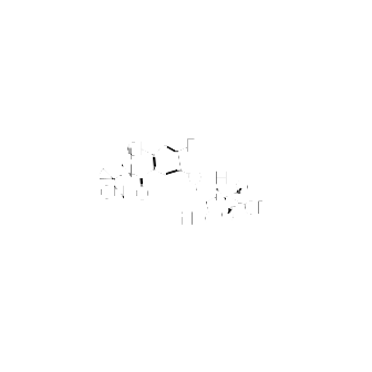 CC(COc1cc(C(=O)NC2(C#N)CC2)c(Cl)cc1F)NS(=O)(=O)C(F)(F)F